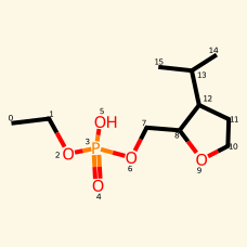 CCOP(=O)(O)OCC1OCCC1C(C)C